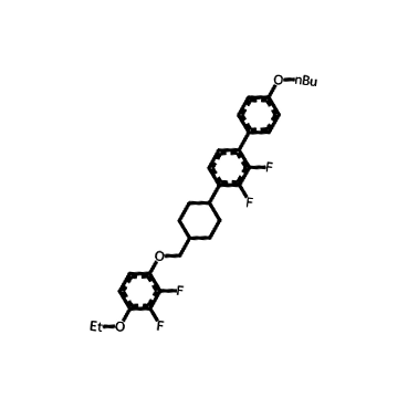 CCCCOc1ccc(-c2ccc(C3CCC(COc4ccc(OCC)c(F)c4F)CC3)c(F)c2F)cc1